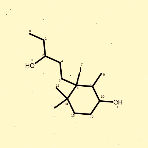 CCC(O)CCC1(I)C(C)C(O)CCC1(C)C